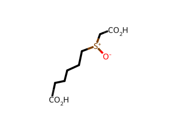 O=C(O)CCCCC[S+]([O-])CC(=O)O